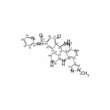 Cn1cc(-c2cnc(N)c(CC(=N)c3ccc(C(=O)Nc4ccccn4)cc3Cl)c2NC2CCCNC2)cn1